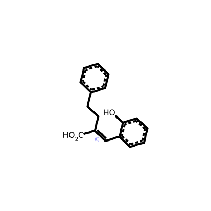 O=C(O)/C(=C/c1ccccc1O)CCc1ccccc1